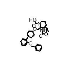 O=C1NC2(CCCN(C(=O)O)C2COC2CC=C(c3ccccc3OCc3ccccc3)CC2)CCO1